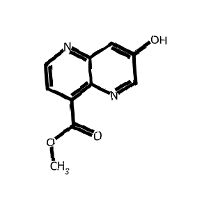 COC(=O)c1ccnc2cc(O)cnc12